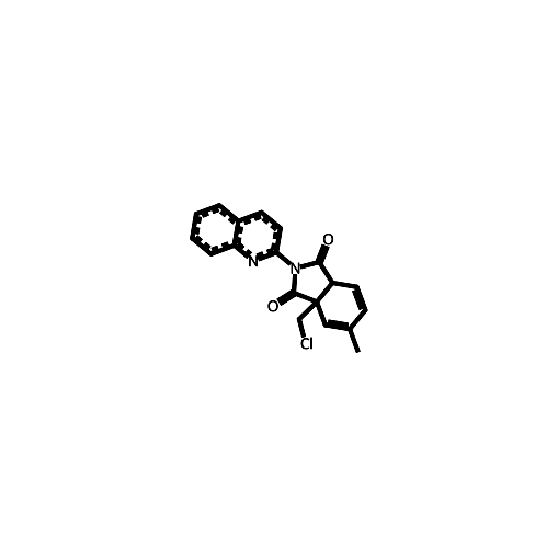 CC1=CC2(CCl)C(=O)N(c3ccc4ccccc4n3)C(=O)C2C=C1